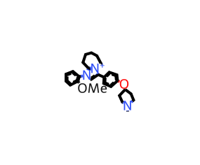 COc1ccccc1-n1cc(-c2ccc(OC3CCN(C)CC3)cc2)[n+]2c1CCCCC2